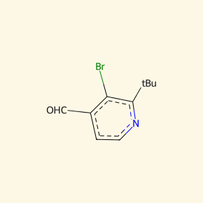 CC(C)(C)c1nccc(C=O)c1Br